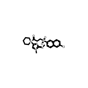 C/N=c1\sc([N+]2(C(=O)CCS(=O)(=O)c3ccc4cc(Cl)ccc4c3)CCCCC2)cn1C